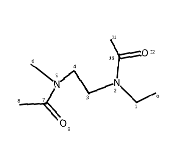 CCN(CCN(C)C(C)=O)C(C)=O